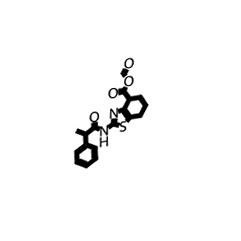 CC(C(=O)Nc1nc2c(s1)CCCC2C(=O)OC=O)c1ccccc1